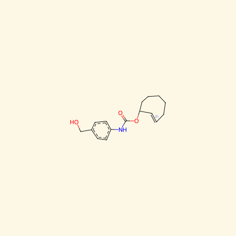 O=C(Nc1ccc(CO)cc1)OC1/C=C/CCCCC1